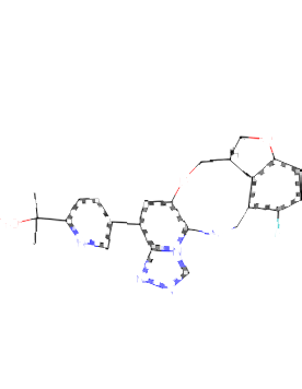 CC(C)(O)c1ccc(-c2cc3c(n4cnnc24)NCc2c(F)ccc4c2[C@H](CO4)CO3)cn1